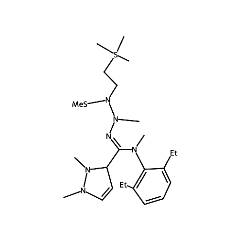 CCc1cccc(CC)c1N(C)/C(=N\N(C)N(CCS(C)(C)C)SC)C1C=CN(C)N1C